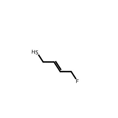 FCC=CCS